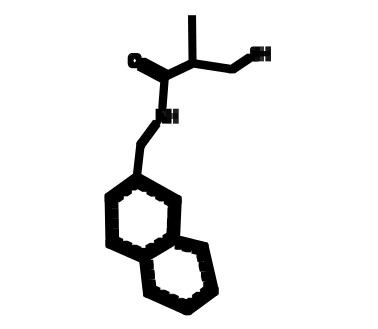 CC(CS)C(=O)NCc1ccc2ccccc2c1